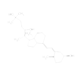 C=C1CC[C@H](O)C/C1=C/C=C1CCC[C@@]2(C)C1CC[C@@H]2[C@H](C)C(O)CCC(C)(C)O